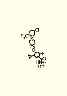 CS(=O)(=O)NC(=O)c1cc(C2CC2)c(OCC2(F)CCN(N3CC(Cl)CCC3C(F)(F)F)CC2)cc1F